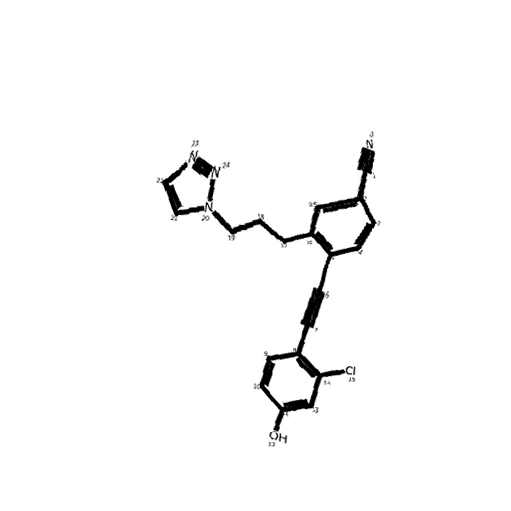 N#Cc1ccc(C#Cc2ccc(O)cc2Cl)c(CCCn2ccnn2)c1